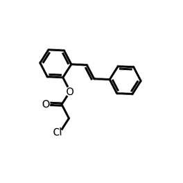 O=C(CCl)Oc1ccccc1C=Cc1ccccc1